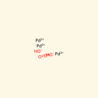 [O-2].[O-2].[OH-].[OH-].[Pd+2].[Pd+2].[Pd+2]